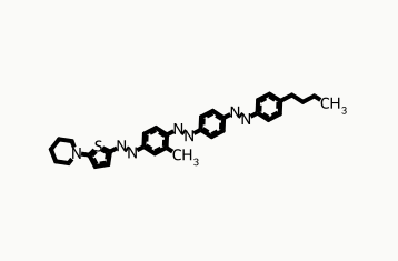 CCCCc1ccc(N=Nc2ccc(N=Nc3ccc(N=Nc4ccc(N5CCCCC5)s4)cc3C)cc2)cc1